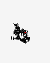 C=CC(=O)N1CC[C@H](C(=O)N(C)C(C(=O)N[C@H]2Cc3cc(O)cc(c3)-c3ccc4c(c3)c(c(-c3cncs3)n4CC)CC(C)(C)COC(=O)[C@@H]3CCCN(N3)C2=O)C(C)C)C1